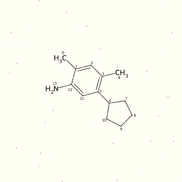 Cc1cc(C)c(C2CCCC2)cc1N